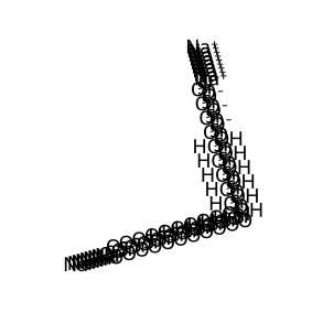 O=[Si](O)O.O=[Si](O)O.O=[Si](O)O.O=[Si](O)O.O=[Si](O)O.O=[Si](O)O.O=[Si](O)O.O=[Si](O)O.O=[Si](O)O.O=[Si](O)O.O=[Si](O)O.O=[Si]([O-])[O-].O=[Si]([O-])[O-].O=[Si]([O-])[O-].O=[Si]([O-])[O-].O=[Si]([O-])[O-].O=[Si]([O-])[O-].O=[Si]([O-])[O-].O=[Si]([O-])[O-].O=[Si]([O-])[O-].[Na+].[Na+].[Na+].[Na+].[Na+].[Na+].[Na+].[Na+].[Na+].[Na+].[Na+].[Na+].[Na+].[Na+].[Na+].[Na+].[Na+].[Na+]